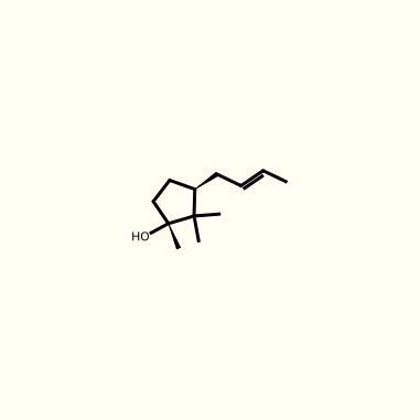 CC=CC[C@@H]1CC[C@@](C)(O)C1(C)C